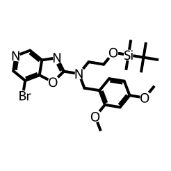 COc1ccc(CN(CCO[Si](C)(C)C(C)(C)C)c2nc3cncc(Br)c3o2)c(OC)c1